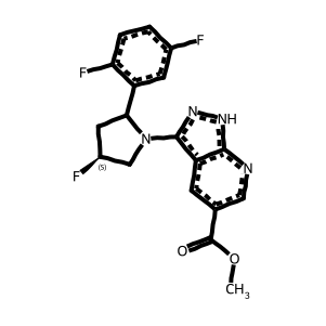 COC(=O)c1cnc2[nH]nc(N3C[C@@H](F)CC3c3cc(F)ccc3F)c2c1